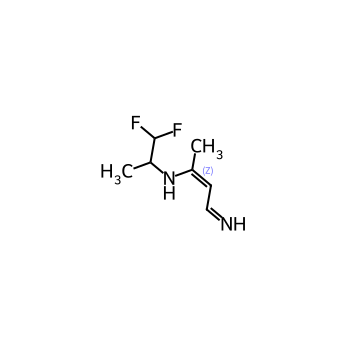 C/C(=C/C=N)NC(C)C(F)F